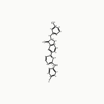 O=C1c2cc(-c3ccnc(Nc4ccc(F)cc4)n3)ccc2CN1Cc1cccc(Cl)c1